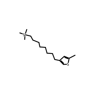 Cc1cc(CCCCCCCC[Si](C)(C)C)cs1